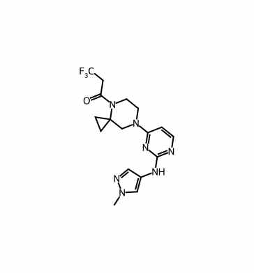 Cn1cc(Nc2nccc(N3CCN(C(=O)CC(F)(F)F)C4(CC4)C3)n2)cn1